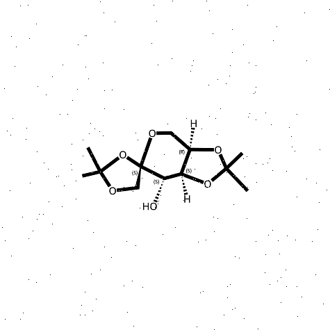 CC1(C)O[C@@H]2[C@@H](CO[C@]3(COC(C)(C)O3)[C@H]2O)O1